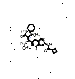 C/C(C1=C(C=O)Nc2cc(NC(=O)C3CCC3)ncc2C1)=C1\C(=O)NC2(CCCCC2)N1C